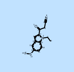 CCn1c(C(=O)CC#N)cc2cc(SF)ccc21